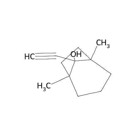 C#CC1(O)C2(C)CCCC1(C)CC2